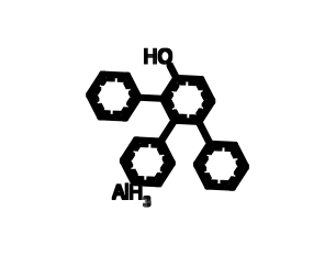 Oc1ccc(-c2ccccc2)c(-c2ccccc2)c1-c1ccccc1.[AlH3]